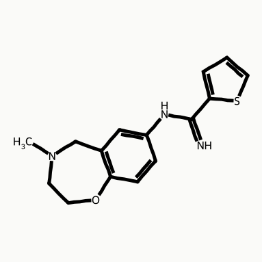 CN1CCOc2ccc(NC(=N)c3cccs3)cc2C1